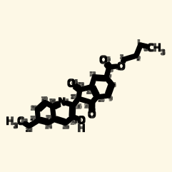 CCCCOC(=O)c1ccc2c(c1)C(=O)C(c1nc3ccc(CC)cc3cc1O)C2=O